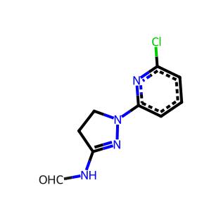 O=CNC1=NN(c2cccc(Cl)n2)CC1